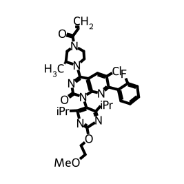 C=CC(=O)N1CCN(c2nc(=O)n(-c3c(C(C)C)nc(OCCOC)nc3C(C)C)c3nc(-c4ccccc4F)c(Cl)cc23)[C@@H](C)C1